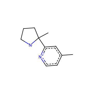 Cc1ccnc(C2(C)CCC[N]2)c1